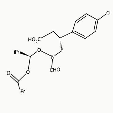 CC(C)C(=O)O[C@H](ON(C=O)C[C@H](CC(=O)O)c1ccc(Cl)cc1)C(C)C